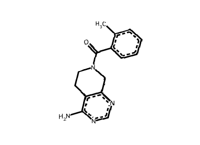 Cc1ccccc1C(=O)N1CCc2c(N)ncnc2C1